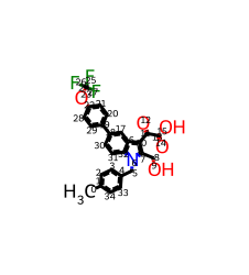 Cc1ccc(Cn2c(CO)c(C(=O)C(=O)O)c3cc(-c4ccc(OC(F)(F)F)cc4)ccc32)cc1